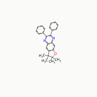 CC1(C)Oc2cc3nc(-c4ccccc4)c(-c4ccccc4)nc3cc2C1(C)C